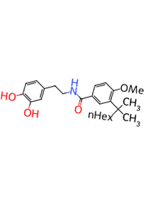 CCCCCCC(C)(C)c1cc(C(=O)NCCc2ccc(O)c(O)c2)ccc1OC